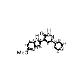 COc1ccc2[nH]c(-c3cc(-c4ccncc4)n[nH]c3=O)cc2n1